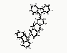 CC1(C)c2cc(-n3c4ccccc4c4ccccc43)ccc2NC2C=CC(n3c4ccccc4c4ccccc43)=CC21